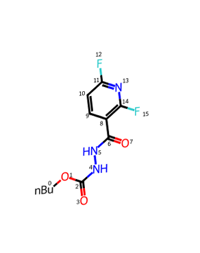 CCCCOC(=O)NNC(=O)c1ccc(F)nc1F